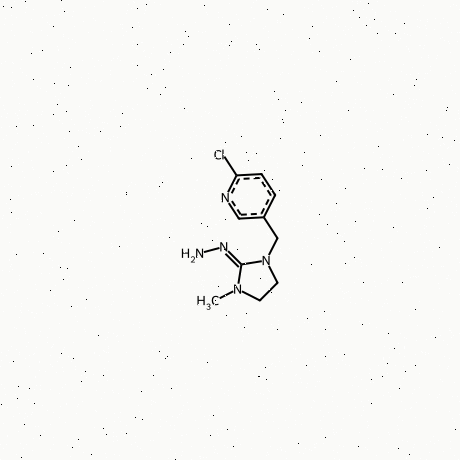 CN1CCN(Cc2ccc(Cl)nc2)C1=NN